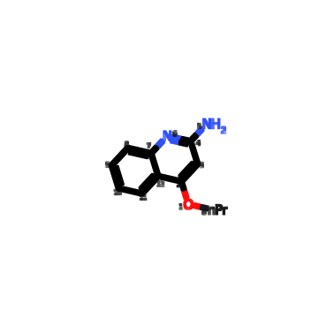 CCCOc1cc(N)nc2ccccc12